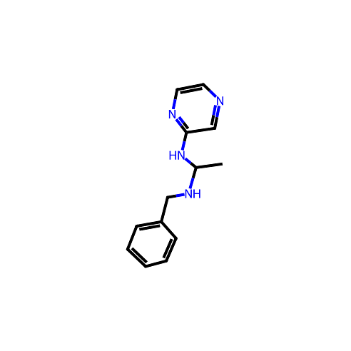 CC(NCc1ccccc1)Nc1cnccn1